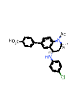 CC(=O)N1c2ccc(-c3ccc(C(=O)O)cc3)cc2[C@@H](Nc2ccc(Cl)cc2)C[C@H]1C